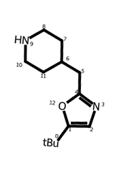 CC(C)(C)c1cnc(CC2CCNCC2)o1